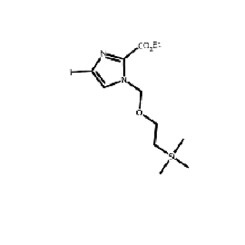 CCOC(=O)c1nc(I)cn1COCC[Si](C)(C)C